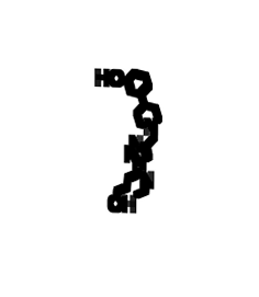 C\C=N/C(=C\C=C\O)n1cc(CN2CCC(c3cccc(O)c3)CC2)nn1